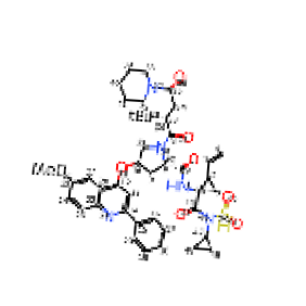 C=CC1C[C@]1(NC(=O)[C@@H]1C[C@@H](Oc2cc(-c3ccccc3)nc3ccc(OC)cc23)CN1C(=O)[C@@H](CC(=O)N1CCCCC1)C(C)(C)C)C(=O)N(C1CC1)[SH](=O)=O